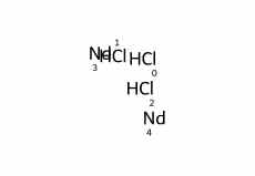 Cl.Cl.Cl.[Nd].[Nd]